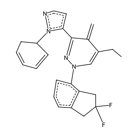 C=C1C(CC)=CN(c2cccc3c2CC(F)(F)C3)N=C1c1ccnn1C1C=CC=CC1